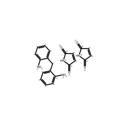 Nc1ccccc1Cc1ccccc1N.O=C1C=CC(=O)N1.O=C1C=CC(=O)N1